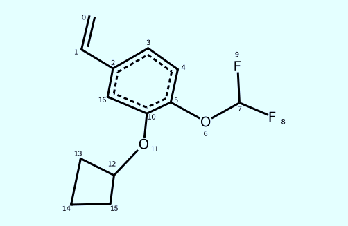 C=Cc1ccc(OC(F)F)c(OC2CCC2)c1